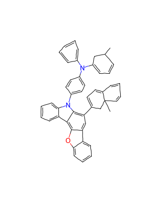 CC1C=CC=C(N(c2ccccc2)c2ccc(-n3c4ccccc4c4c5oc6ccccc6c5cc(C5=CC=C6C=CC=CC6(C)C5)c43)cc2)C1